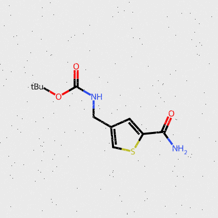 CC(C)(C)OC(=O)NCc1csc(C(N)=O)c1